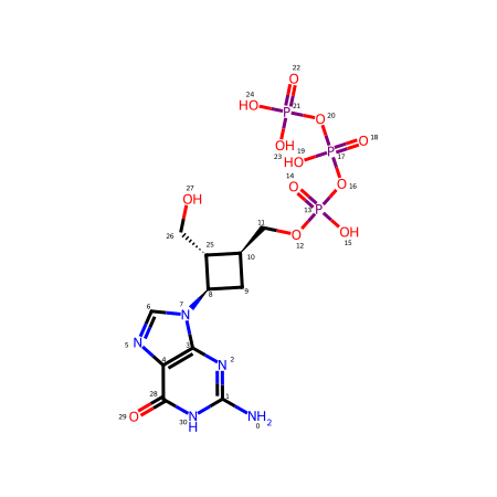 Nc1nc2c(ncn2[C@@H]2C[C@H](COP(=O)(O)OP(=O)(O)OP(=O)(O)O)[C@H]2CO)c(=O)[nH]1